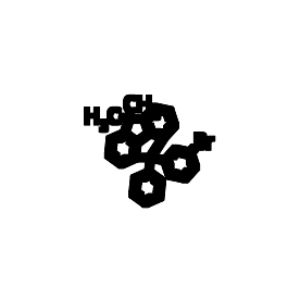 CC1(C)c2cccc3c2-c2c1cccc2C3(c1ccccc1)c1cccc(Br)c1